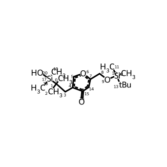 CC(C)(Cc1coc(CO[Si](C)(C)C(C)(C)C)cc1=O)[Si](C)(C)O